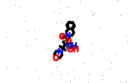 CC(C)(C(CS(=O)(=O)N1CCc2ccccc2C1)NO)N1CCOCC1